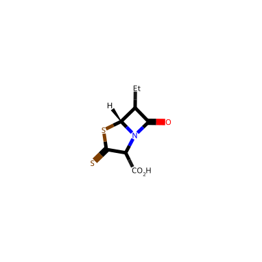 CCC1C(=O)N2C(C(=O)O)C(=S)S[C@H]12